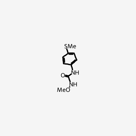 CONC(=O)Nc1ccc(SC)cc1